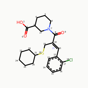 O=C(O)C1CCCN(C(=O)/C(=C/c2ccccc2Cl)CSC2CCCCC2)C1